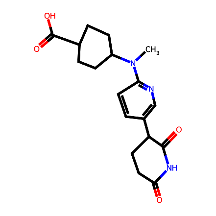 CN(c1ccc(C2CCC(=O)NC2=O)cn1)C1CCC(C(=O)O)CC1